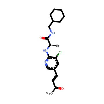 CC[C@@H](Nc1ncc(/C=C/C(=O)OC)cc1Cl)C(=O)NCC1CCCCC1